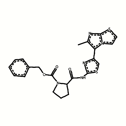 Cc1nc2sccn2c1-c1csc(NC(=O)C2CCCN2C(=O)OCc2ccccc2)n1